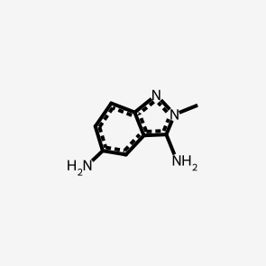 Cn1nc2ccc(N)cc2c1N